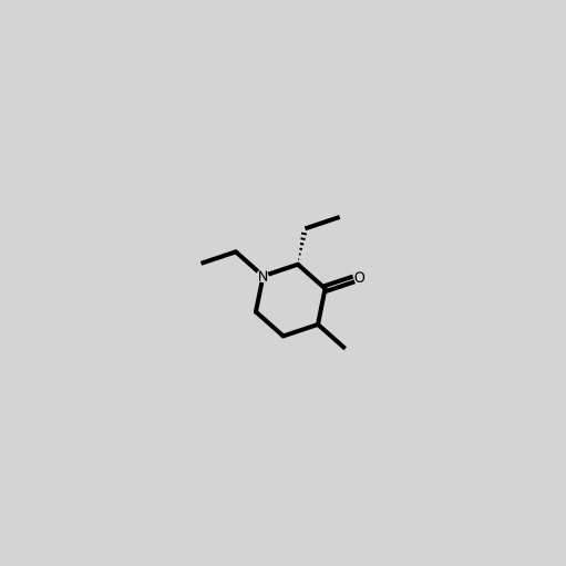 CC[C@@H]1C(=O)C(C)CCN1CC